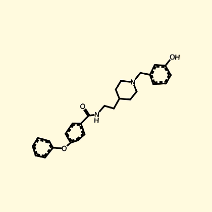 O=C(NCCC1CCN(Cc2cccc(O)c2)CC1)c1ccc(Oc2ccccc2)cc1